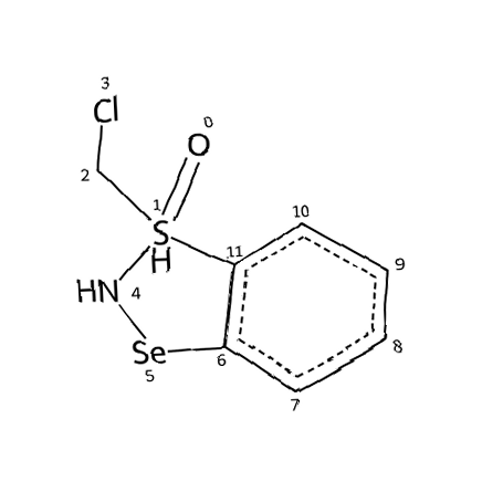 O=[SH]1(CCl)N[Se]c2ccccc21